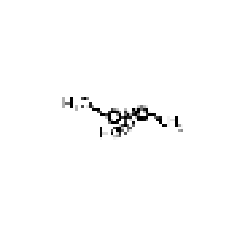 CCCCCC1CC[C@@H](C(=O)Oc2ccc(CCC)cc2)[C@H](C(=O)O)C1